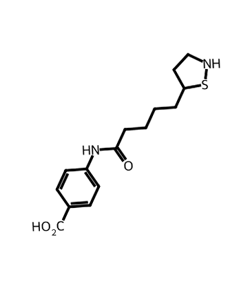 O=C(CCCCC1CCNS1)Nc1ccc(C(=O)O)cc1